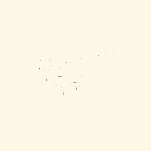 CCCCCCCCCCCCCCCCCn1ccnc1C(CCCC)C(C)(Cc1ccccc1)c1ccccc1